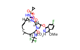 CC[C@@H]1C[C@@H](C)CCC=C[C@@H]2C[C@@]2(C(=O)NS(=O)(=O)C2CC2)NC(=O)[C@@H]2C[C@@H](Oc3ncc(OC)c4ccc(F)cc34)CN2C(=O)[C@H]1N(C(=O)O)C(C)(C)C(C)(F)F